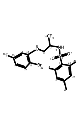 Cc1cc(C)c(S(=O)(=O)NC(COc2cc(F)ccc2Br)C(F)(F)F)c(C)c1